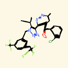 Cc1cc(C(=O)c2ccccc2Cl)c(-c2nnn(Cc3cc(C(F)(F)F)cc(C(F)(F)F)c3)c2C(C)C)nn1